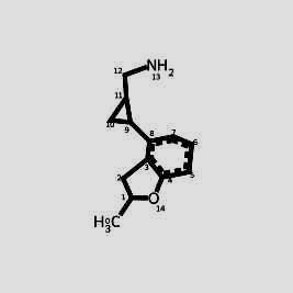 CC1Cc2c(cccc2C2CC2CN)O1